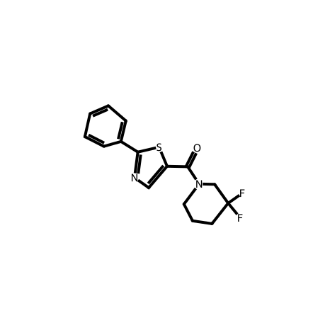 O=C(c1cnc(-c2ccccc2)s1)N1CCCC(F)(F)C1